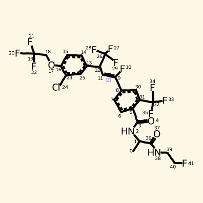 CC(NC(=O)c1ccc(/C(F)=C/C(c2ccc(OCC(F)(F)F)c(Cl)c2)C(F)(F)F)cc1C(F)(F)F)C(=O)NCCF